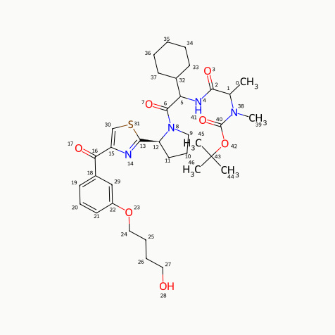 CC(C(=O)NC(C(=O)N1CCC[C@H]1c1nc(C(=O)c2cccc(OCCCCO)c2)cs1)C1CCCCC1)N(C)C(=O)OC(C)(C)C